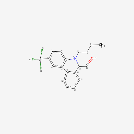 CCCCN1c2ccc(C(F)(F)F)cc2-c2ccccc2C1C=O